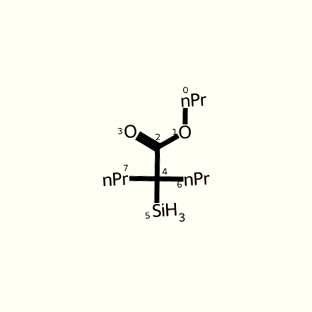 CCCOC(=O)C([SiH3])(CCC)CCC